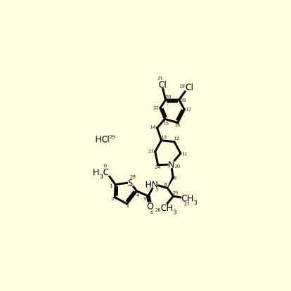 Cc1ccc(C(=O)N[C@@H](CN2CCC(Cc3ccc(Cl)c(Cl)c3)CC2)C(C)C)s1.Cl